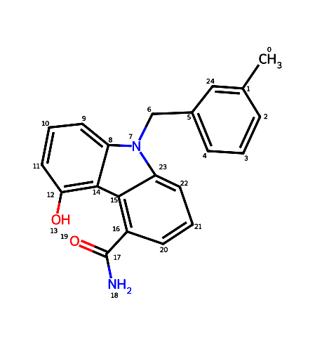 Cc1cccc(Cn2c3cccc(O)c3c3c(C(N)=O)cccc32)c1